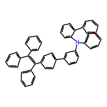 c1ccc(C(=C(c2ccccc2)c2ccc(-c3cccc(N(c4ccccc4)c4ccccc4-c4ccccc4)c3)cc2)c2ccccc2)cc1